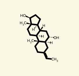 C/C=C1/CC[C@@]2(C)[C@H](C1)[C@@H](O)C[C@@H]1[C@@H]2CC[C@]2(C)[C@@H](O)CC[C@@H]12